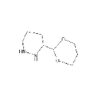 C1COC([C]2CCCNN2)OC1